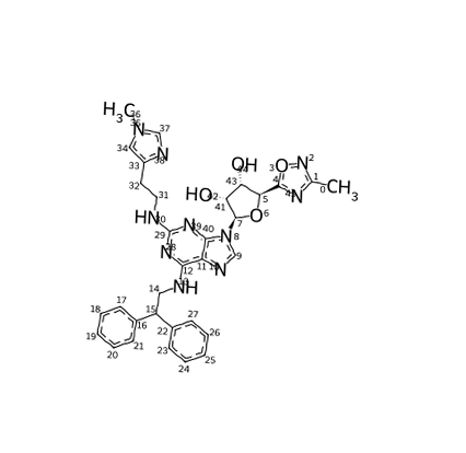 Cc1noc([C@H]2O[C@@H](n3cnc4c(NCC(c5ccccc5)c5ccccc5)nc(NCCc5cn(C)cn5)nc43)[C@H](O)[C@@H]2O)n1